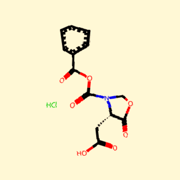 Cl.O=C(O)C[C@H]1C(=O)OCN1C(=O)OC(=O)c1ccccc1